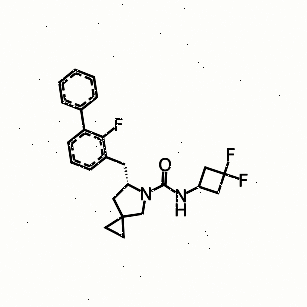 O=C(NC1CC(F)(F)C1)N1CC2(CC2)C[C@@H]1Cc1cccc(-c2ccccc2)c1F